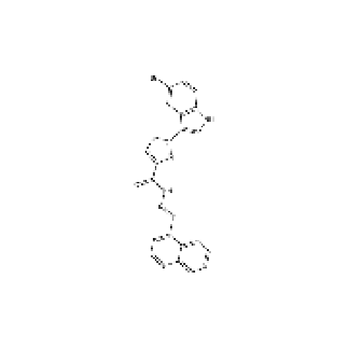 O=C(N/N=C/c1ccnc2ccccc12)c1csc(-c2c[nH]c3ccc(Br)cc23)n1